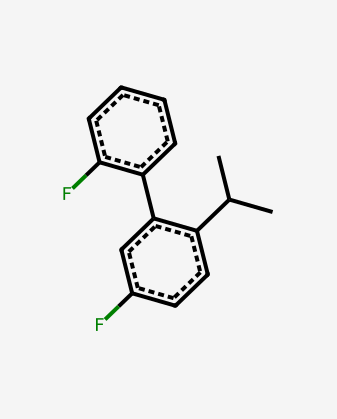 CC(C)c1ccc(F)cc1-c1ccccc1F